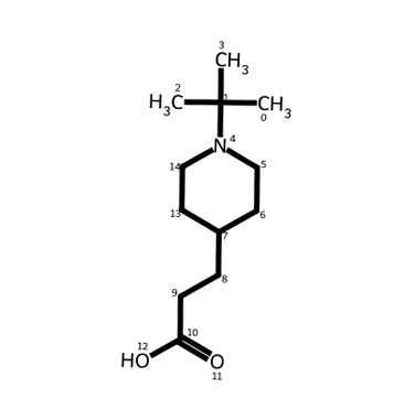 CC(C)(C)N1CCC(CCC(=O)O)CC1